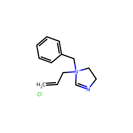 C=CC[N+]1(Cc2ccccc2)C=NCC1.[Cl-]